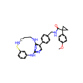 COc1ccc(C2(C(=O)NCc3ccc(-c4cnc5nc4NCCCNSc4cccc(c4)N5)cc3)CC2)cc1